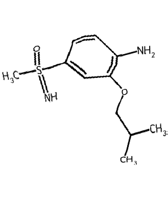 CC(C)COc1cc(S(C)(=N)=O)ccc1N